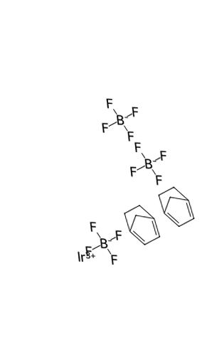 C1=C2CCC(=C1)C2.C1=C2CCC(=C1)C2.F[B-](F)(F)F.F[B-](F)(F)F.F[B-](F)(F)F.[Ir+3]